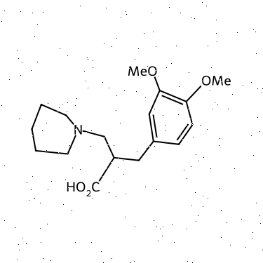 COc1ccc(CC(CN2CCCCC2)C(=O)O)cc1OC